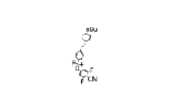 CCCC[C@H]1CC[C@H](CCc2ccc(C(F)(F)Oc3cc(F)c(C#N)c(F)c3)cc2)CC1